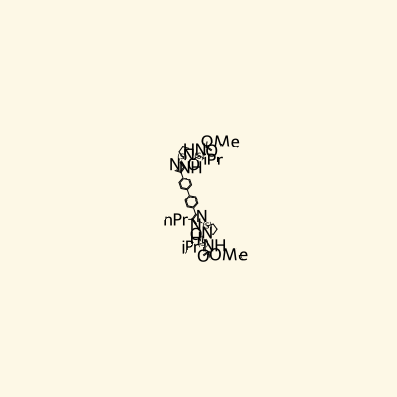 CCCc1[nH]c([C@@H]2CCCN2C(=O)[C@@H](NC(=O)OC)C(C)C)nc1-c1ccc(-c2ccc(-c3cnc([C@@H]4CCCN4C(=O)[C@@H](NC(=O)OC)C(C)C)[nH]3)cc2)cc1